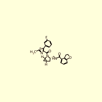 Cc1nc(C(=O)N2[C@H](CNC(=O)c3cccc4c3CCO4)C[C@@H]3C[C@@H]32)c(-c2cccc(F)c2)s1